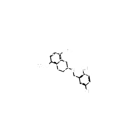 COc1ccc(OC)c2c1CCC(NCc1cc(Cl)ccc1C)C2